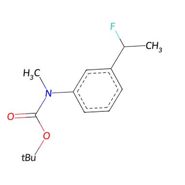 CC(F)c1cccc(N(C)C(=O)OC(C)(C)C)c1